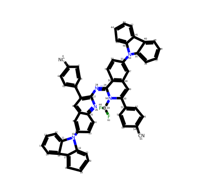 N#Cc1ccc(-c2cc3cc(-n4c5ccccc5c5ccccc54)ccc3nc2/N=c2/c3ccc(-n4c5ccccc5c5ccccc54)cc3cc(-c3ccc(C#N)cc3)n2B(F)F)cc1